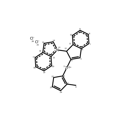 CC1=[C]([Zr+2][C]2=Cc3ccccc3C2n2ccc3ccccc32)CC=C1.[Cl-].[Cl-]